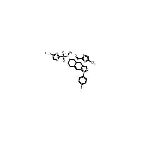 CC(C)N([C@H]1CCC2=Cc3c(cnn3-c3ccc(F)cc3)C[C@]2(C(=O)c2ncc(C(F)(F)F)s2)C1)S(=O)(=O)c1ncn(C)n1